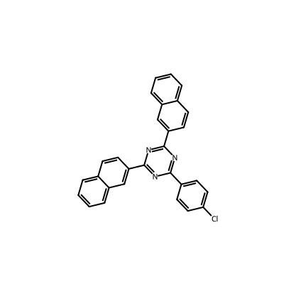 Clc1ccc(-c2nc(-c3ccc4ccccc4c3)nc(-c3ccc4ccccc4c3)n2)cc1